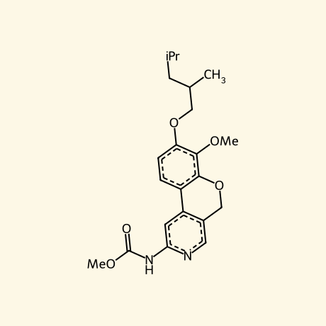 COC(=O)Nc1cc2c(cn1)COc1c-2ccc(OCC(C)CC(C)C)c1OC